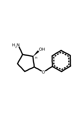 NC1CCC(Oc2ccccc2)[C@@H]1O